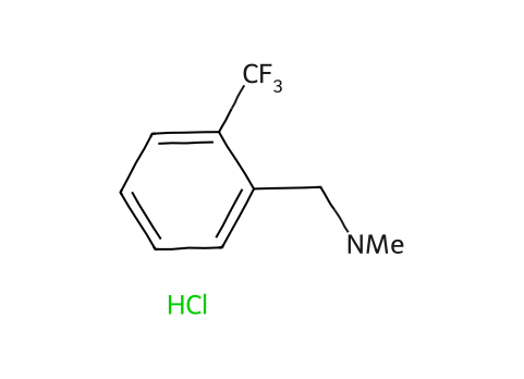 CNCc1ccccc1C(F)(F)F.Cl